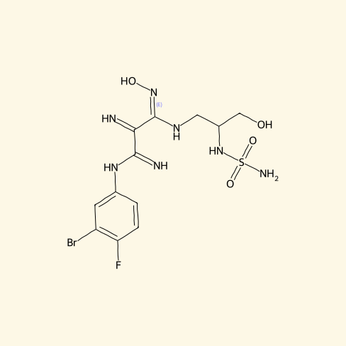 N=C(Nc1ccc(F)c(Br)c1)C(=N)/C(=N\O)NCC(CO)NS(N)(=O)=O